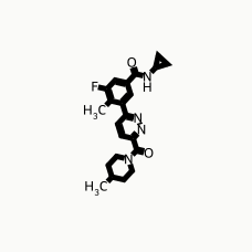 Cc1c(F)cc(C(=O)NC2CC2)cc1-c1ccc(C(=O)N2CCC(C)CC2)nn1